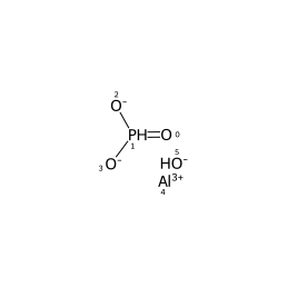 O=[PH]([O-])[O-].[Al+3].[OH-]